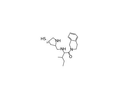 CCC(C)C(NCC1C[C@H](S)CN1)C(=O)N1CCc2ccccc2C1